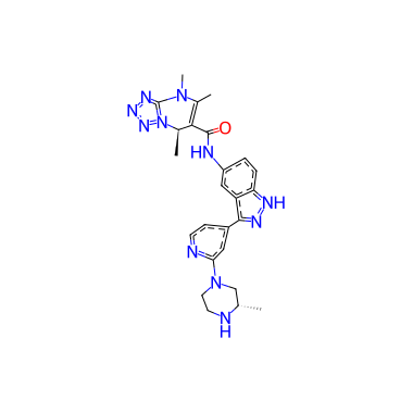 CC1=C(C(=O)Nc2ccc3[nH]nc(-c4ccnc(N5CCN[C@@H](C)C5)c4)c3c2)[C@@H](C)n2nnnc2N1C